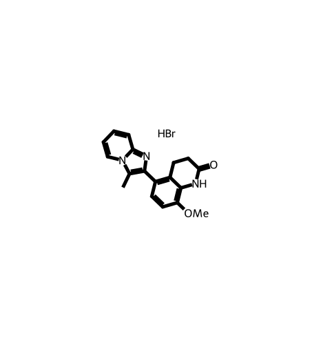 Br.COc1ccc(-c2nc3ccccn3c2C)c2c1NC(=O)CC2